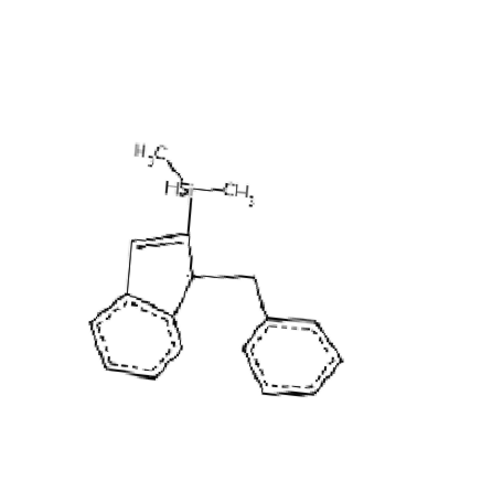 C[SiH](C)C1=Cc2ccccc2[C]1Cc1ccccc1